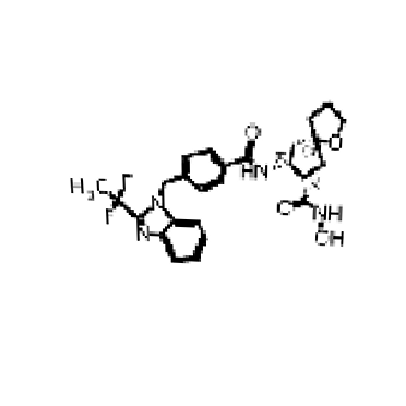 CC(F)(F)c1nc2ccccc2n1Cc1ccc(C(=O)N[C@@H]2C[C@@]3(CCCO3)C[C@@H]2C(=O)NO)cc1